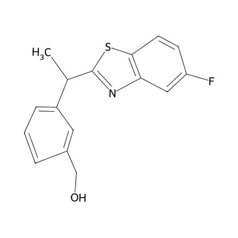 CC(c1cccc(CO)c1)c1nc2cc(F)ccc2s1